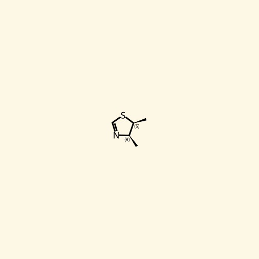 C[C@@H]1SC=N[C@@H]1C